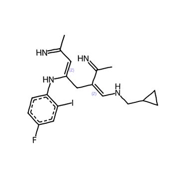 CC(=N)/C=C(/C/C(=C/NCC1CC1)C(C)=N)Nc1ccc(F)cc1I